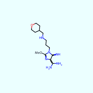 COC1=NC(=C(N)N)C(=N)N1CCCNCC1CCOCC1